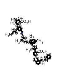 Cc1c(-c2ccc(N3CCc4cccc(C(=O)Nc5nc6ccccc6s5)c4C3)nc2C(=O)O)cnn1CC12CC3(C)CC(C)(C1)CC(OCCN(C)C(=O)OC/C=C/c1ccc(O[C@@H]4O[C@H](C(=O)O)[C@@H](O)[C@H](O)[C@H]4O)c(NC(=O)CCN)c1)(C3)C2